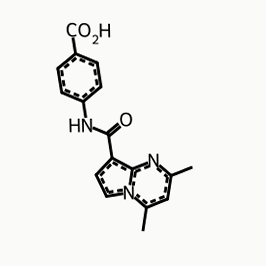 Cc1cc(C)n2ccc(C(=O)Nc3ccc(C(=O)O)cc3)c2n1